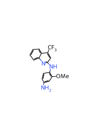 COc1cc(N)ccc1Nc1cc(C(F)(F)F)c2ccccc2n1